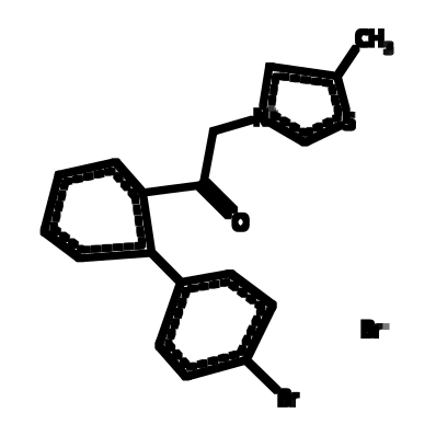 Cc1c[n+](CC(=O)c2ccccc2-c2ccc(Br)cc2)cs1.[Br-]